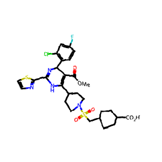 COC(=O)C1=C(C2CCN(S(=O)(=O)CC3CCC(C(=O)O)CC3)CC2)NC(c2nccs2)=NC1c1ccc(F)cc1Cl